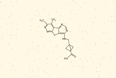 Cc1nnc2sc3c(NCC45CC(C(=O)O)(C4)C5)ncnc3c2c1C